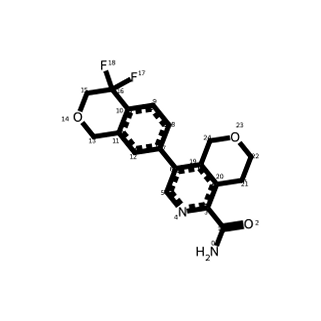 NC(=O)c1ncc(-c2ccc3c(c2)COCC3(F)F)c2c1[CH]COC2